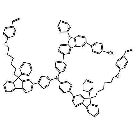 C=Cc1ccc(OCCCCCCC2(c3ccccc3)c3ccccc3-c3ccc(-c4ccc(N(c5ccc(-c6ccc7c(c6)C(CCCCCCOc6ccc(C=C)cc6)(c6ccccc6)c6ccccc6-7)cc5)c5ccc(-c6ccc7c(c6)c6cc(-c8ccc(C(C)(C)C)cc8)ccc6n7-c6ccccc6)cc5)cc4)cc32)cc1